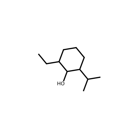 CCC1CCCC(C(C)C)C1O